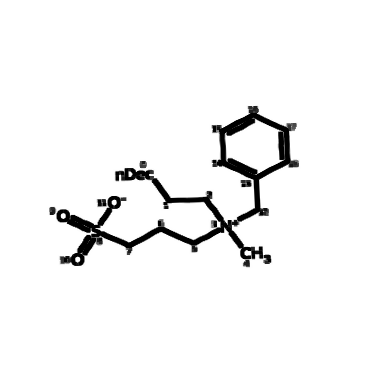 CCCCCCCCCCCC[N+](C)(CCCS(=O)(=O)[O-])Cc1ccccc1